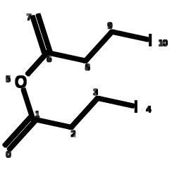 C=C(CCI)OC(=C)CCI